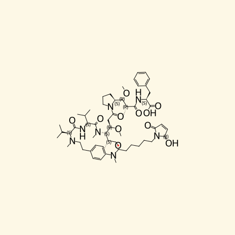 CC[C@H](C)[C@@H]([C@@H](CC(=O)N1CCC[C@H]1[C@H](OC)[C@@H](C)C(=O)N[C@@H](Cc1ccccc1)C(=O)O)OC)N(C)C(=O)[C@@H](NC(=O)[C@H](C(C)C)N(C)CCc1ccc(N(C)C(=O)CCCCCN2C(=O)C=C[C@H]2O)cc1)C(C)C